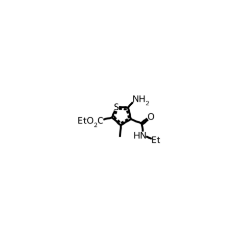 CCNC(=O)c1c(N)sc(C(=O)OCC)c1C